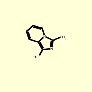 Cc1nc(C)n2ccccc12